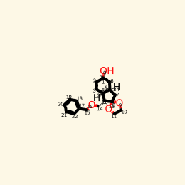 O[C@@H]1CC[C@H]2[C@@H](C1)CC1(OCCO1)[C@@H]2COCc1ccccc1